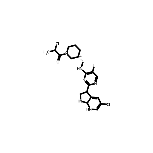 CC(Cl)C(=O)N1CCC[C@H](CNc2nc(C3CNC4NC=C(Cl)C=C43)ncc2F)C1